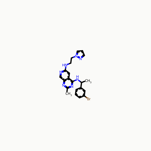 Cc1nc(NC(C)c2cccc(Br)c2)c2cc(NCCn3cccn3)ncc2n1